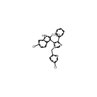 CCOC(=O)c1[nH]c2cc(Cl)ccc2c1-c1c(-c2ccccc2)ncn1Cc1ccc(Cl)cn1